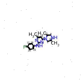 Cc1cc(N2CC(C)NCC2C)nc(Nc2ccc(F)cc2)n1